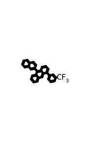 FC(F)(F)c1cccc(-c2cccc3c(-c4ccc5ccccc5c4)c4ccccc4cc23)c1